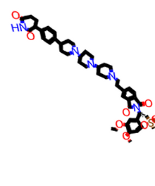 CCOc1cc([C@@H](CS(C)(=O)=O)N2C(=O)c3ccc(CCN4CCC(N5CCC(N6CCC(c7ccc(C8CCC(=O)NC8=O)cc7)CC6)CC5)CC4)cc3C2=O)ccc1OC